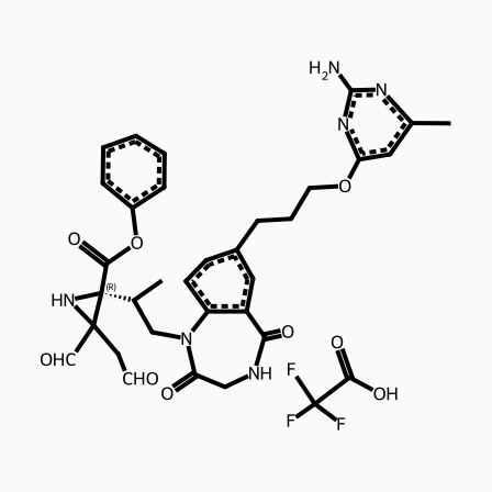 Cc1cc(OCCCc2ccc3c(c2)C(=O)NCC(=O)N3CC(C)[C@@]2(C(=O)Oc3ccccc3)NC2(C=O)CC=O)nc(N)n1.O=C(O)C(F)(F)F